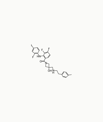 Cc1ccc(CCNCC2(O)CN(C(=O)c3ccc(F)c(F)c3Nc3ccc(I)cc3F)C2)cc1